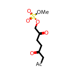 COS(=O)(=O)OCC(=O)CCC(=O)CC(C)=O